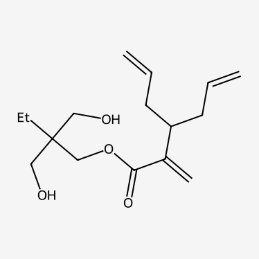 C=CCC(CC=C)C(=C)C(=O)OCC(CC)(CO)CO